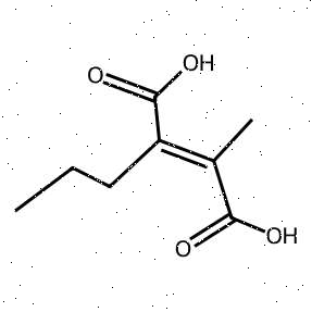 CCCC(C(=O)O)=C(C)C(=O)O